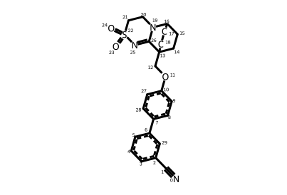 N#Cc1cccc(-c2ccc(OCC34CCC(CC3)N3CCS(=O)(=O)N=C34)cc2)c1